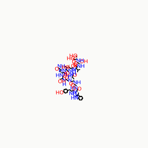 CC(C)[C@H](NC(=O)[C@H](CCC(N)=O)NC(=O)[C@@H](NC(=O)CNC(=O)[C@H](CCC(N)=O)NC(=O)CNC(=O)[C@H](Cc1c[nH]c2ccccc12)NC(=O)[C@@H](N)Cc1ccc(O)cc1)[C@@H](C)O)C(=O)N[C@H](C(=O)N[C@H](C(=O)N[C@@H](CO)C(=O)N[C@@H](CO)C(=O)O)C(C)C)[C@@H](C)O